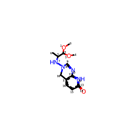 COC(OC)C(C)NN1C=Nc2[nH]c(=O)ccc2C1